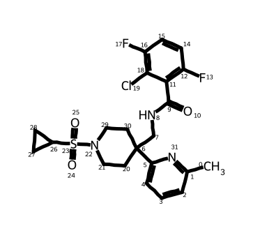 Cc1cccc(C2(CNC(=O)c3c(F)ccc(F)c3Cl)CCN(S(=O)(=O)C3CC3)CC2)n1